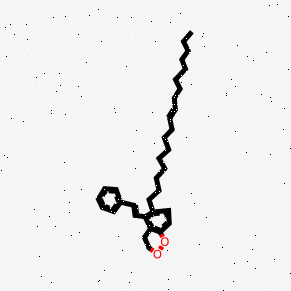 CCCCCCCCC=CCCCCCCCCc1ccc2c(c1C=Cc1ccccc1)CCOO2